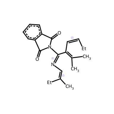 CC/C=C\C(=C(C)C)/C(=N\C=C(\C)CC)N1C(=O)c2ccccc2C1=O